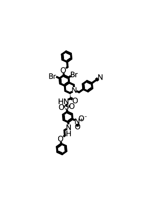 N#Cc1ccc(CN2Cc3c(cc(Br)c(OCc4ccccc4)c3Br)C[C@H]2C(=O)NS(=O)(=O)c2ccc(NCCOc3ccccc3)c([N+](=O)[O-])c2)cc1